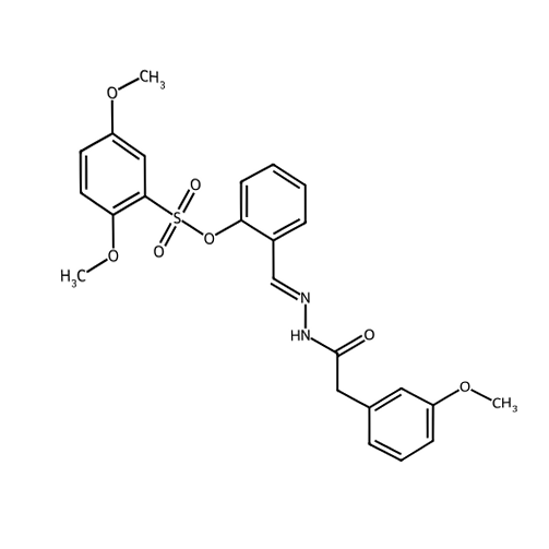 COc1cccc(CC(=O)N/N=C/c2ccccc2OS(=O)(=O)c2cc(OC)ccc2OC)c1